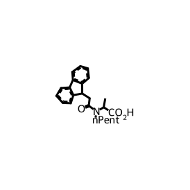 CCCCCN(C(=O)CC1c2ccccc2-c2ccccc21)C(C)C(=O)O